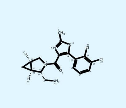 Cc1nc(C(=O)N2C[C@@H]3C[C@@H]3[C@H]2CN)c(-c2cccc(Cl)c2Cl)s1